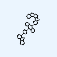 c1ccc2c(c1)oc1c(-c3ccc(-c4c5ccccc5c(-c5ccc6oc7ccc8sc9ccccc9c8c7c6c5)c5ccccc45)cc3)cccc12